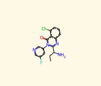 CCC(N)c1nc2cccc(Cl)c2c(=O)n1-c1cncc(F)c1